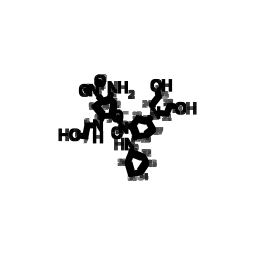 Nc1ccc(NCCO)cc1[N+](=O)[O-].O=[N+]([O-])c1cc(N(CCO)CCO)ccc1Nc1ccccc1